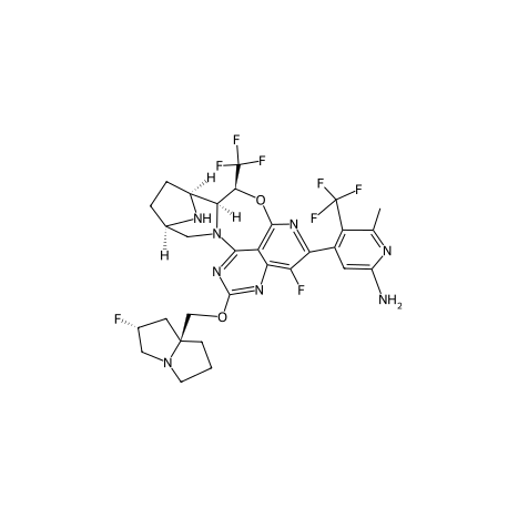 Cc1nc(N)cc(-c2nc3c4c(nc(OC[C@@]56CCCN5C[C@H](F)C6)nc4c2F)N2C[C@H]4CC[C@H](N4)[C@H]2[C@@H](C(F)(F)F)O3)c1C(F)(F)F